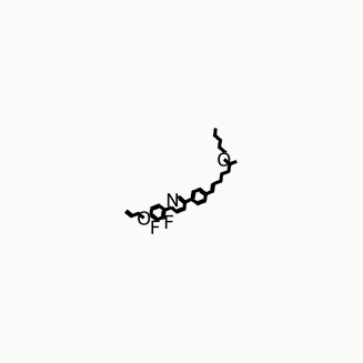 C=CCOc1ccc(-c2ccc(-c3ccc(/C=C/CCCC(C)OCCCCC)cc3)cn2)c(F)c1F